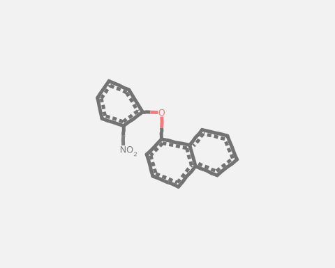 O=[N+]([O-])c1ccccc1Oc1cccc2ccccc12